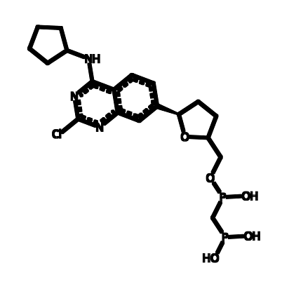 OP(O)CP(O)OCC1CC[C@H](c2ccc3c(NC4CCCC4)nc(Cl)nc3c2)O1